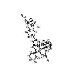 CCOP(=O)(C=C1CCN(CC[C@H](CSc2ccccc2)Nc2ccc(C)cc2S(=O)(=O)C(F)(F)F)CC1)OCC